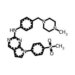 CN1CCN(Cc2ccc(Nc3ncc4ccn(-c5ccc(S(C)(=O)=O)cc5)c4n3)cc2)CC1